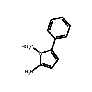 Nc1ccc(-c2ccccc2)n1C(=O)O